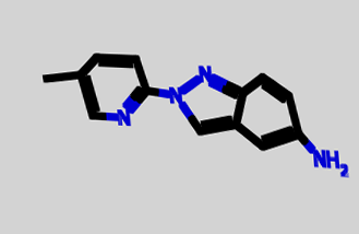 Cc1ccc(-n2cc3cc(N)ccc3n2)nc1